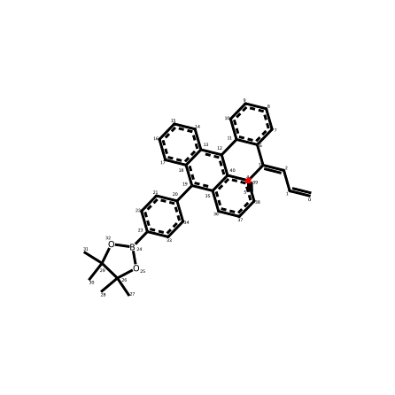 C=C/C=C(\C=C)c1ccccc1-c1c2ccccc2c(-c2ccc(B3OC(C)(C)C(C)(C)O3)cc2)c2ccccc12